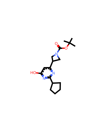 CC(C)(C)OC(=O)N1CC(c2cc(O)nc(C3CCCC3)n2)C1